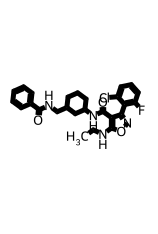 CCNc1onc(-c2c(F)cccc2Cl)c1C(=O)NC1CCCC(CNC(=O)c2ccccc2)C1